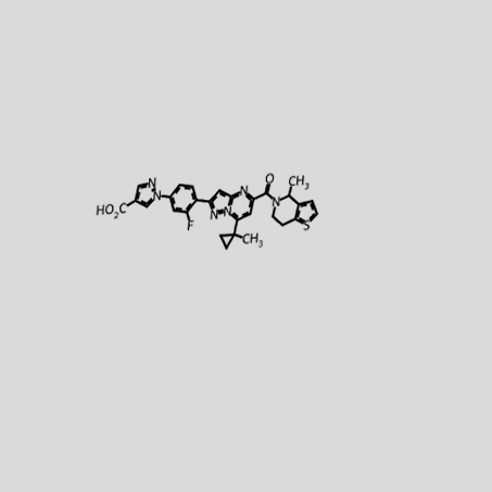 CC1c2ccsc2CCN1C(=O)c1cc(C2(C)CC2)n2nc(-c3ccc(-n4cc(C(=O)O)cn4)cc3F)cc2n1